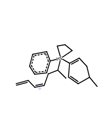 C=C/C=C\CC(C)[SH]1(C2=CCC(C)C=C2)(c2ccccc2)CCC1